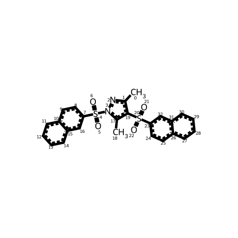 Cc1nn(S(=O)(=O)c2ccc3ccccc3c2)c(C)c1S(=O)(=O)c1ccc2ccccc2c1